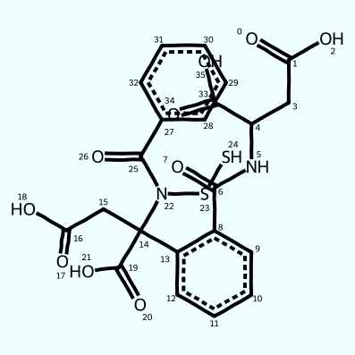 O=C(O)CC(NC(=O)c1ccccc1C(CC(=O)O)(C(=O)O)N(SS)C(=O)c1ccccc1)C(=O)O